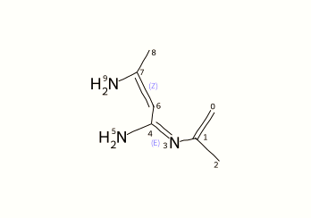 C=C(C)/N=C(N)\C=C(\C)N